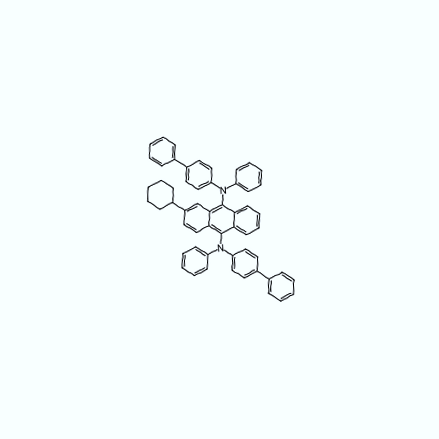 c1ccc(-c2ccc(N(c3ccccc3)c3c4ccccc4c(N(c4ccccc4)c4ccc(-c5ccccc5)cc4)c4cc(C5CCCCC5)ccc34)cc2)cc1